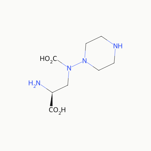 N[C@@H](CN(C(=O)O)N1CCNCC1)C(=O)O